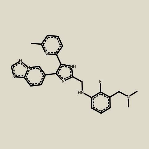 Cc1cccc(-c2[nH]c(CNc3cccc(CN(C)C)c3F)nc2-c2ccc3ncnn3c2)n1